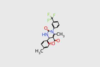 CC1=C(C(=O)O)C(c2ccc(C)cc2)NC(=O)N1c1cccc(C(F)(F)F)c1